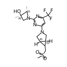 C[C@@H]1N(c2nc(N3C[C@@H]4C(CS(C)(=O)=O)[C@@H]4C3)cc(C(F)(F)F)n2)C[C@@]1(C)O